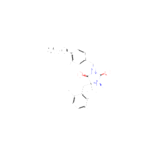 COc1ccc(CN2C(=O)N(C)C(C)(Cc3ccccc3C)C2=O)cc1